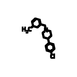 CC1C=CC=C(CN2CCC(c3ccc(Cl)cc3)CC2)C1